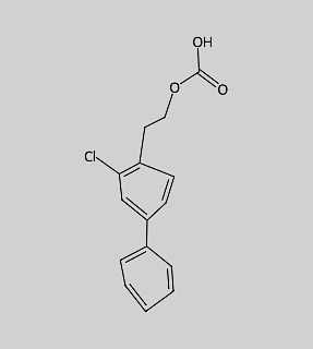 O=C(O)OCCc1ccc(-c2ccccc2)cc1Cl